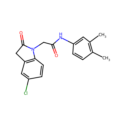 Cc1ccc(NC(=O)CN2C(=O)Cc3cc(Cl)ccc32)cc1C